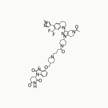 CC(=O)N1CCc2c(c(N3CCCc4cc(-c5cnn(C)c5)c(C(F)F)cc43)nn2C2CCN(C(=O)CCCN3CCC(COc4cccc5c4n(C)c(=O)n5C4CCC(=O)NC4=O)CC3)CC2)C1